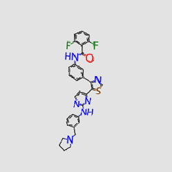 O=C(Nc1cccc(-c2ncsc2-c2ccnc(Nc3cccc(CN4CCCC4)c3)n2)c1)c1c(F)cccc1F